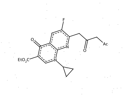 CCOC(=O)c1cn(C2CC2)c2nc(CC(=O)CC(C)=O)c(F)cc2c1=O